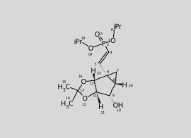 CC(C)OP(=O)(/C=C/[C@]12C[C@@H]1[C@H](O)[C@@H]1OC(C)(C)O[C@@H]12)OC(C)C